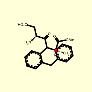 COC(=O)[C@@](C)(N)C(C(=O)[C@@H](N)CC(=O)O)c1ccccc1Cc1ccccc1